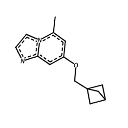 Cc1cc(OCC23CC(C2)C3)cc2nccn12